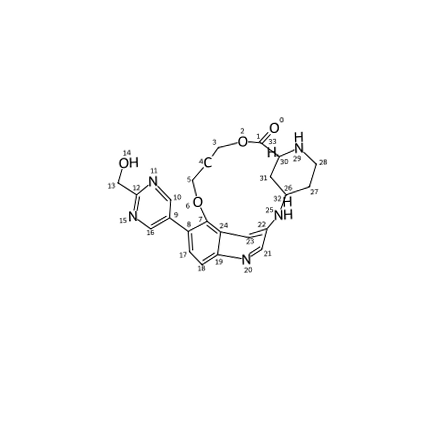 O=C1OCCCOc2c(-c3cnc(CO)nc3)ccc3ncc(cc23)N[C@H]2CCN[C@H]1C2